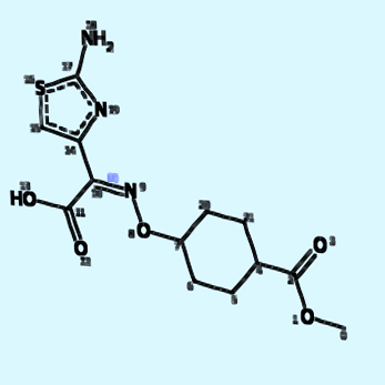 COC(=O)C1CCC(O/N=C(\C(=O)O)c2csc(N)n2)CC1